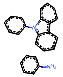 Nc1ccccc1.c1ccc(-n2c3ccccc3c3ccccc32)cc1